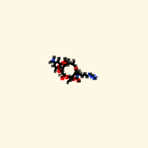 CC[C@H]1OC(=O)[C@H](C)C(=O)[C@@H](C)[C@@H](O[C@@H]2OC(C)CC(N(C)C)C2C)[C@](C)(OC)C[C@@H](C)CO[C@H](C)[C@H]2N(CCCCN=[N+]=[N-])C(=O)O[C@]12C